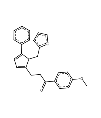 COc1ccc(C(=O)CCC2=CC=C(c3ccccc3)C2Cc2ccco2)cc1